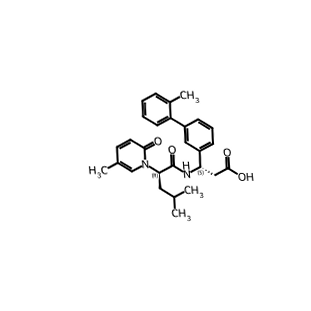 Cc1ccc(=O)n([C@H](CC(C)C)C(=O)N[C@@H](CC(=O)O)c2cccc(-c3ccccc3C)c2)c1